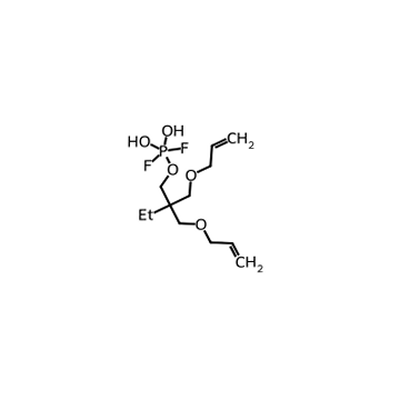 C=CCOCC(CC)(COCC=C)COP(O)(O)(F)F